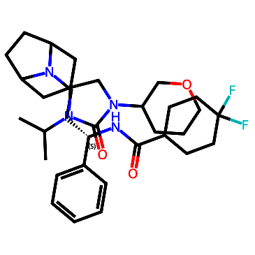 CC(C)N1C(=O)N(C2CCCOC2)CC12CC1CCC(C2)N1CC[C@H](NC(=O)C1CCC(F)(F)CC1)c1ccccc1